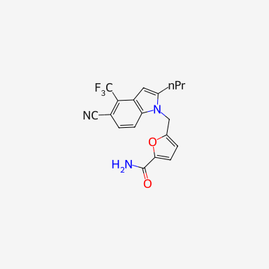 CCCc1cc2c(C(F)(F)F)c(C#N)ccc2n1Cc1ccc(C(N)=O)o1